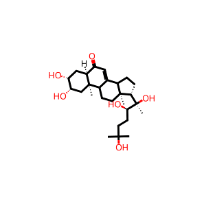 CC(C)(O)CC[C@@H](O)[C@](C)(O)[C@H]1CCC2C3=CC(=O)[C@@H]4C[C@@H](O)[C@@H](O)C[C@]4(C)C3CC[C@@]21C